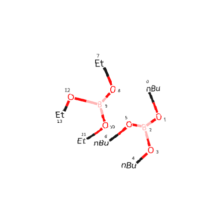 CCCCOB(OCCCC)OCCCC.CCOB(OCC)OCC